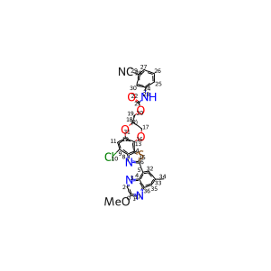 COc1cnc2c(-c3nc4c(Cl)cc5c(c4s3)OC[C@H](COC(=O)Nc3cccc(C#N)c3)O5)cc(C)cc2n1